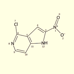 O=[N+]([O-])c1cc2c(Cl)nccc2[nH]1